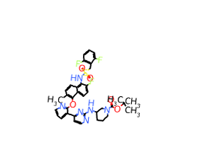 Cc1ccc2c(NS(=O)(=O)Cc3c(F)cccc3F)c(F)ccc2c1Oc1ncccc1-c1ccnc(NC2CCCN(C(=O)OC(C)(C)C)C2)n1